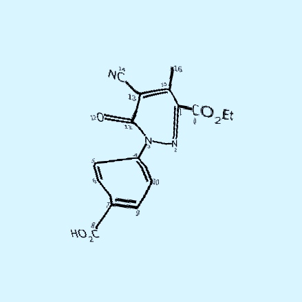 CCOC(=O)c1nn(-c2ccc(C(=O)O)cc2)c(=O)c(C#N)c1C